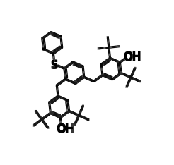 CC(C)(C)c1cc(Cc2ccc(Sc3ccccc3)c(Cc3cc(C(C)(C)C)c(O)c(C(C)(C)C)c3)c2)cc(C(C)(C)C)c1O